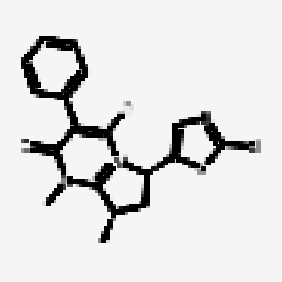 C[C@@H]1C[C@H](c2cnc(Cl)s2)[n+]2c([O-])c(-c3ccccc3)c(=O)n(C)c21